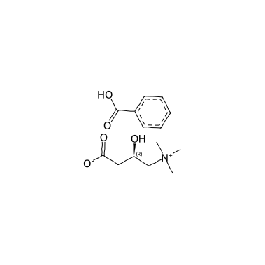 C[N+](C)(C)C[C@H](O)CC(=O)[O-].O=C(O)c1ccccc1